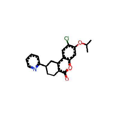 CC(C)Oc1cc2oc(=O)c3c(c2cc1Cl)CC(c1ccccn1)CC3